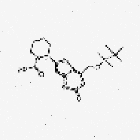 CC(C)(C)[Si](C)(C)OCc1cc(=O)[nH]c2cc([C@@H]3CCCCN3C(=O)O)nn12